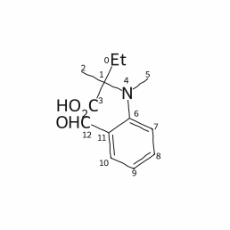 CCC(C)(C(=O)O)N(C)c1ccccc1C=O